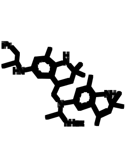 CCCCCCC(C)N(CC1=CC(C)(C)Nc2c(C)cc(NC(C)CC(C)C)cc21)c1cc(C)c2c(c1)C(C)=CC(C)(C)N2